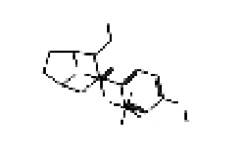 COc1ccc(C2CC3CCC(C2CO)N3C(=O)OC(C)(C)C)cc1